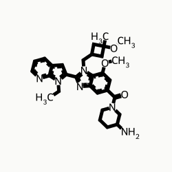 CCn1c(-c2nc3cc(C(=O)N4CCCC(N)C4)cc(OC)c3n2CC2CC(C)(OC)C2)cc2cccnc21